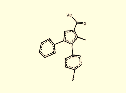 Cc1c(C(=O)O)cc(-c2ccccc2)n1-c1ccc(F)cc1